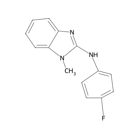 Cn1c(Nc2ccc(F)cc2)nc2ccccc21